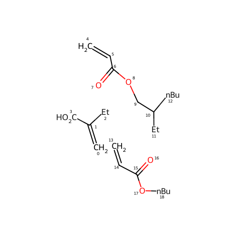 C=C(CC)C(=O)O.C=CC(=O)OCC(CC)CCCC.C=CC(=O)OCCCC